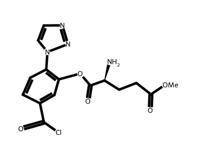 COC(=O)CC[C@H](N)C(=O)Oc1cc(C(=O)Cl)ccc1-n1ccnn1